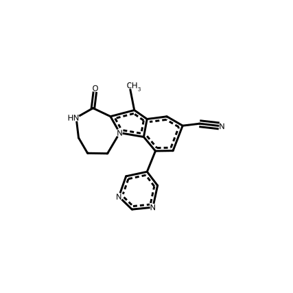 Cc1c2n(c3c(-c4cncnc4)cc(C#N)cc13)CCCNC2=O